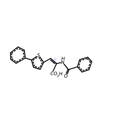 O=C(O)/C(=C\c1ccc(-c2ccccc2)s1)NC(=O)c1ccccc1